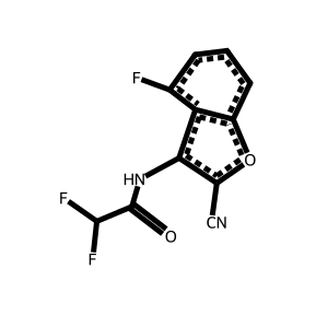 N#Cc1oc2cccc(F)c2c1NC(=O)C(F)F